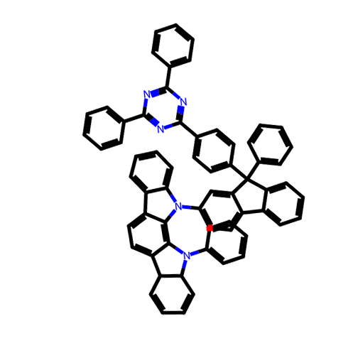 C1=CC2c3ccc4c5ccccc5n(-c5ccc6c(c5)C(c5ccccc5)(c5ccc(-c7nc(-c8ccccc8)nc(-c8ccccc8)n7)cc5)c5ccccc5-6)c4c3N(c3ccccc3)C2C=C1